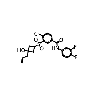 C=CCC1(O)CC(S(=O)(=O)c2cc(C(=O)Nc3ccc(F)c(F)c3)ccc2Cl)C1